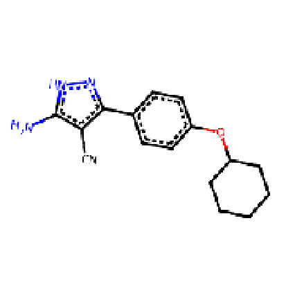 N#Cc1c(-c2ccc(OC3CCCCC3)cc2)n[nH]c1N